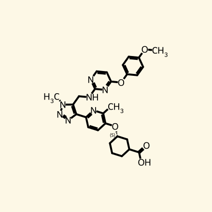 COc1ccc(Oc2ccnc(NCc3c(-c4ccc(O[C@H]5CCCC(C(=O)O)C5)c(C)n4)nnn3C)n2)cc1